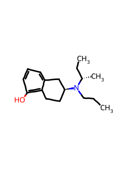 CCCN([C@H]1CCc2c(O)cccc2C1)[C@@H](C)CC